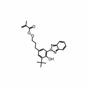 C=C(C)C(=O)OOCCCc1cc(-n2nc3ccccc3n2)c(O)c(C(C)(C)C)c1